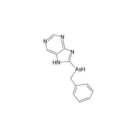 c1ccc(C[AsH]c2nc3ncncc3[nH]2)cc1